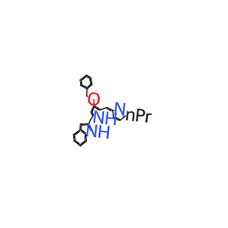 CCCC1=NC(=Cc2[nH]c(-c3cc4ccccc4[nH]3)cc2OCc2ccccc2)C=C1